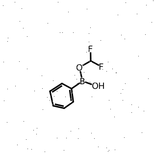 OB(OC(F)F)c1ccccc1